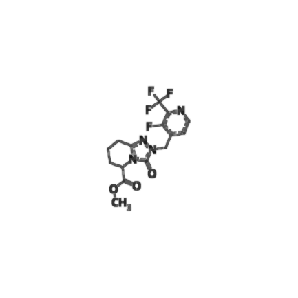 COC(=O)C1CCCc2nn(Cc3ccnc(C(F)(F)F)c3F)c(=O)n21